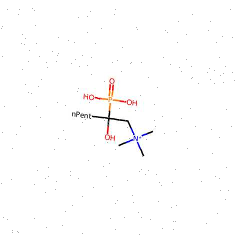 CCCCCC(O)(C[N+](C)(C)C)P(=O)(O)O